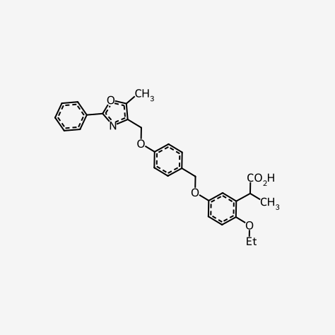 CCOc1ccc(OCc2ccc(OCc3nc(-c4ccccc4)oc3C)cc2)cc1C(C)C(=O)O